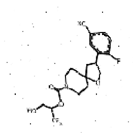 N#Cc1ccc(F)c(C2COC3(CCN(C(=O)OC(CO)C(F)(F)F)CC3)C2)c1